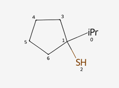 CC(C)C1(S)CCCC1